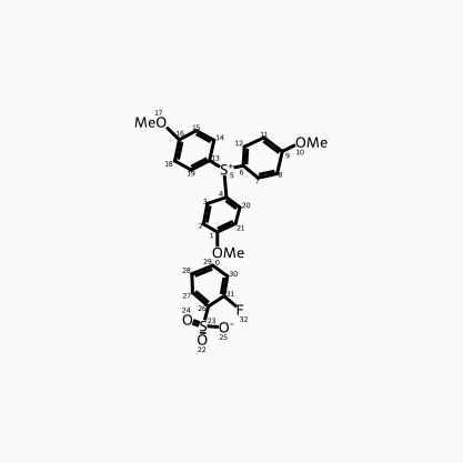 COc1ccc([S+](c2ccc(OC)cc2)c2ccc(OC)cc2)cc1.O=S(=O)([O-])c1ccccc1F